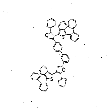 c1ccc(-c2ccccc2-c2sc(-c3cc(-c4cccc(-c5ccc(-c6coc(-c7ccccc7)c6-c6sc(-c7ccccc7-c7ccccc7)c7ccccc67)cc5)c4)oc3-c3ccccc3)c3ccccc23)cc1